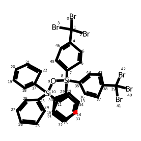 BrC(Br)(Br)c1ccc([Si](O[Si](c2ccccc2)(c2ccccc2)c2ccccc2)(c2ccccc2)c2ccc(C(Br)(Br)Br)cc2)cc1